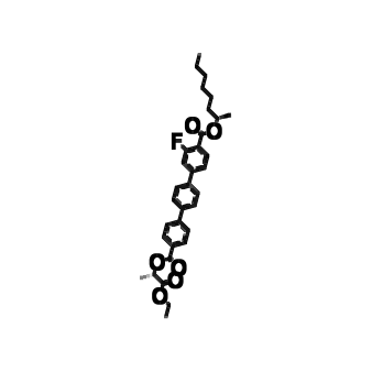 CCCCCC[C@@H](C)OC(=O)c1ccc(-c2ccc(-c3ccc(C(=O)O[C@@H](C)C(=O)OCC)cc3)cc2)cc1F